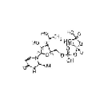 CC(O)[C@H]1[C@@H](O)[C@H](N2C=CC(=O)NC2O)O[C@@H]1COP(=O)(O)OP(=O)(O)OP(=O)(O)O